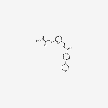 O=C(C=Cc1cccc(C=CC(=O)c2ccc(N3CCOCC3)cc2)n1)NO